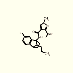 CCCC1C2CCC1(NC(=O)c1cn(C)nc1C(F)F)c1cc(Cl)ccc12